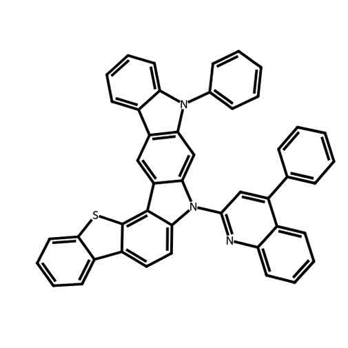 c1ccc(-c2cc(-n3c4cc5c(cc4c4c6sc7ccccc7c6ccc43)c3ccccc3n5-c3ccccc3)nc3ccccc23)cc1